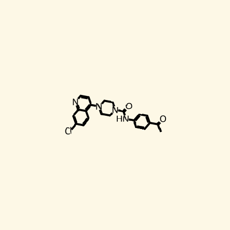 CC(=O)c1ccc(NC(=O)N2CCN(c3ccnc4cc(Cl)ccc34)CC2)cc1